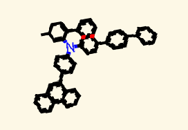 CC1C=C(N(c2ccc(-c3ccc(-c4ccccc4)cc3)cc2)c2ccc(-c3cc4ccccc4c4ccccc34)cc2)C(c2ccccc2)=CC1